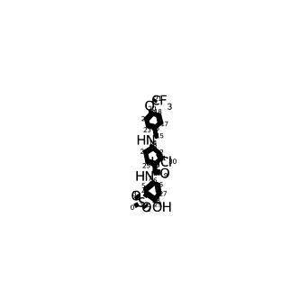 CS(=O)(=O)c1cc(NC(=O)c2ccc(NCc3ccc(OC(F)(F)F)cc3)cc2)ccc1O.Cl